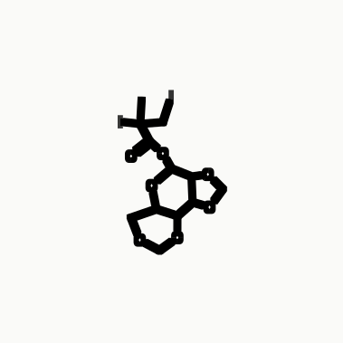 CC(I)(CI)C(=O)OC1OC2COCOC2C2OCOC12